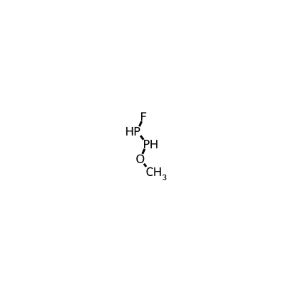 COPPF